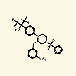 Cc1cccc(C[C@H]2CN(S(=O)(=O)c3cccs3)CCN2c2ccc(C(O)(C(F)(F)F)C(F)(F)F)cc2)c1